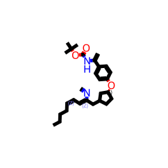 C=N/C(=C\C=C/CCCC)CC1CC[C@H](Oc2ccc(C(=C)NC(=O)OC(C)(C)C)cc2)C1